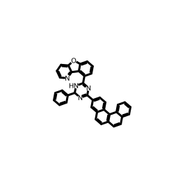 c1ccc(C2N=C(c3ccc4c(ccc5ccc6ccccc6c54)c3)N=C(c3cccc4oc5cccnc5c34)N2)cc1